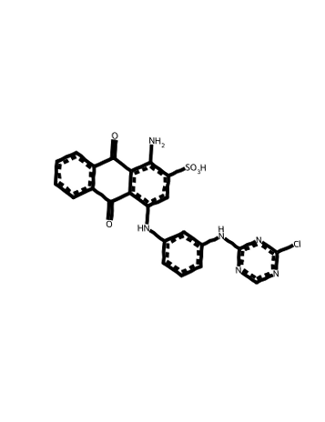 Nc1c(S(=O)(=O)O)cc(Nc2cccc(Nc3ncnc(Cl)n3)c2)c2c1C(=O)c1ccccc1C2=O